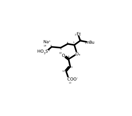 CCCCC(CC)C(CCCS(=O)(=O)O)OC(=O)C=CC(=O)[O-].[Na+]